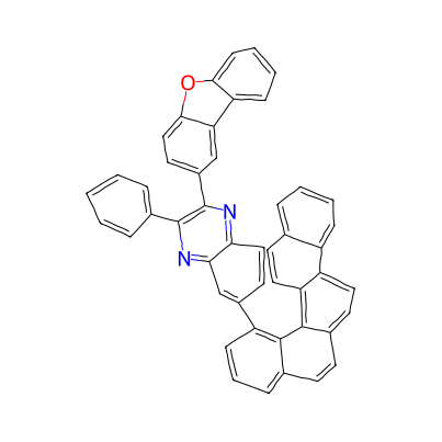 c1ccc(-c2nc3cc(-c4cccc5ccc6ccc7c8ccccc8ccc7c6c45)ccc3nc2-c2ccc3oc4ccccc4c3c2)cc1